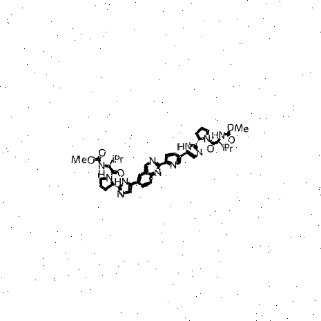 COC(=O)N[C@H](C(=O)N1CCC[C@H]1c1ncc(-c2ccc(-c3ncc4cc(-c5cnc([C@@H]6CCCN6C(=O)[C@@H](NC(=O)OC)C(C)C)[nH]5)ccc4n3)nc2)[nH]1)C(C)C